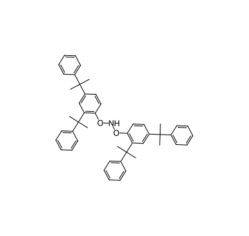 CC(C)(c1ccccc1)c1ccc(ONOc2ccc(C(C)(C)c3ccccc3)cc2C(C)(C)c2ccccc2)c(C(C)(C)c2ccccc2)c1